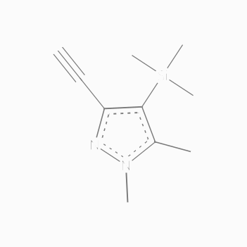 C#Cc1nn(C)c(C)c1[Si](C)(C)C